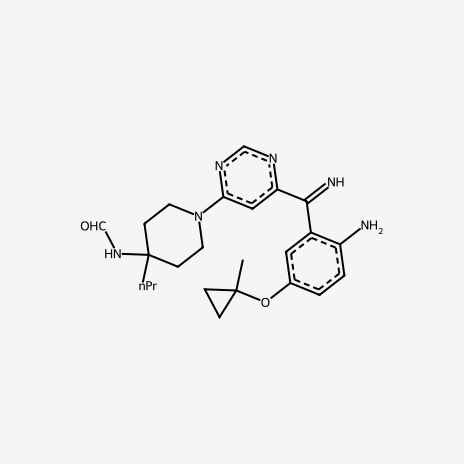 CCCC1(NC=O)CCN(c2cc(C(=N)c3cc(OC4(C)CC4)ccc3N)ncn2)CC1